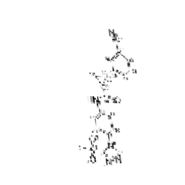 CS(=O)(=O)c1nncn1-c1ccc(NC(=O)[C@@H]2C[C@@H]2c2cccc(C#N)c2)cc1